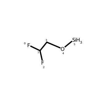 FC(F)CO[SiH3]